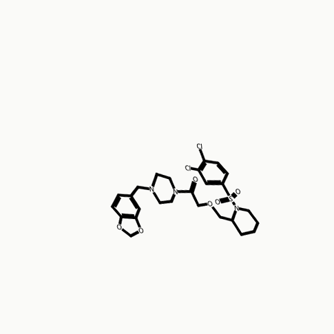 O=C(COCC1CCCCN1S(=O)(=O)c1ccc(Cl)c(Cl)c1)N1CCN(Cc2ccc3c(c2)OCO3)CC1